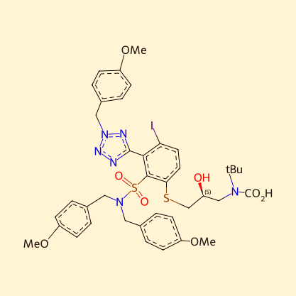 COc1ccc(CN(Cc2ccc(OC)cc2)S(=O)(=O)c2c(SC[C@@H](O)CN(C(=O)O)C(C)(C)C)ccc(I)c2-c2nnn(Cc3ccc(OC)cc3)n2)cc1